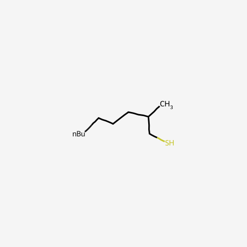 CCCCCCCC(C)CS